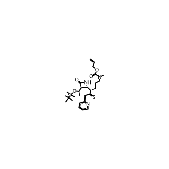 C=CCOC(=O)N(C)CCC[C@@H](C(=S)Cc1ccccn1)[C@H]1NC(=O)[C@@H]1[C@@H](C)O[Si](C)(C)C(C)(C)C